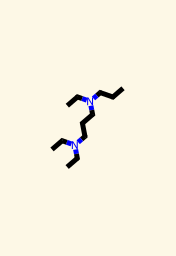 CCCN(CC)CCCN(CC)CC